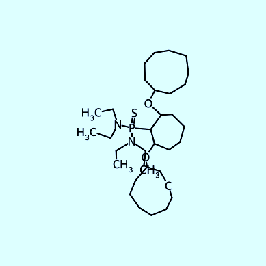 CCN(CC)P(=S)(C1C(OC2CCCCCCCC2)CCCCC1OC1CCCCCCCC1)N(CC)CC